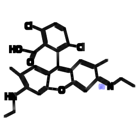 CC/N=c1/cc2oc3cc(NCC)c(C)cc3c(-c3c(Cl)ccc(Cl)c3C(=O)O)c-2cc1C